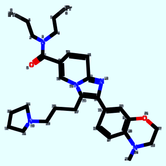 CC(C)CCN(CCC(C)C)C(=O)c1ccc2nc(-c3ccc4c(c3)OCCN4C)c(CCCN3CCCC3)n2c1